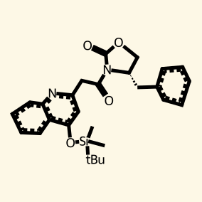 CC(C)(C)[Si](C)(C)Oc1cc(CC(=O)N2C(=O)OC[C@@H]2Cc2ccccc2)nc2ccccc12